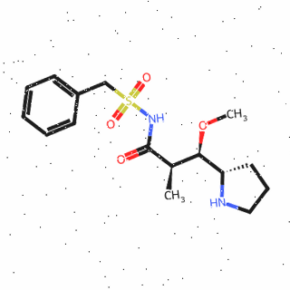 CO[C@@H]([C@@H]1CCCN1)[C@@H](C)C(=O)NS(=O)(=O)Cc1ccccc1